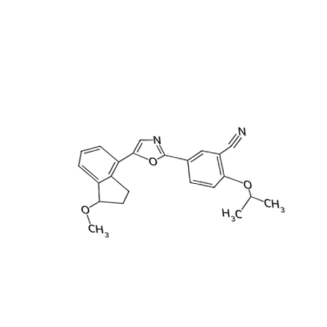 COC1CCc2c(-c3cnc(-c4ccc(OC(C)C)c(C#N)c4)o3)cccc21